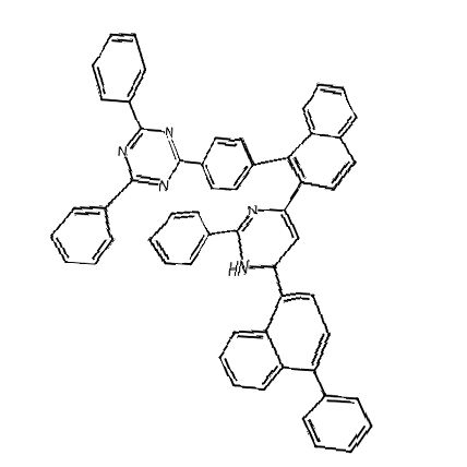 C1=C(c2ccc3ccccc3c2-c2ccc(-c3nc(-c4ccccc4)nc(-c4ccccc4)n3)cc2)N=C(c2ccccc2)NC1c1ccc(-c2ccccc2)c2ccccc12